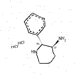 Cl.Cl.N[C@H]1CCCN[C@@H]1c1ccccc1